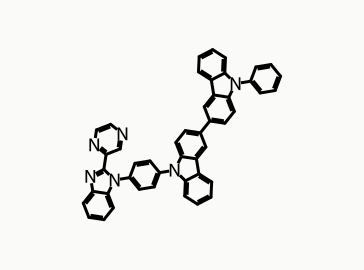 c1ccc(-n2c3ccccc3c3cc(-c4ccc5c(c4)c4ccccc4n5-c4ccc(-n5c(-c6cnccn6)nc6ccccc65)cc4)ccc32)cc1